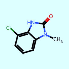 Cn1c(=O)[nH]c2c(Cl)c[c]cc21